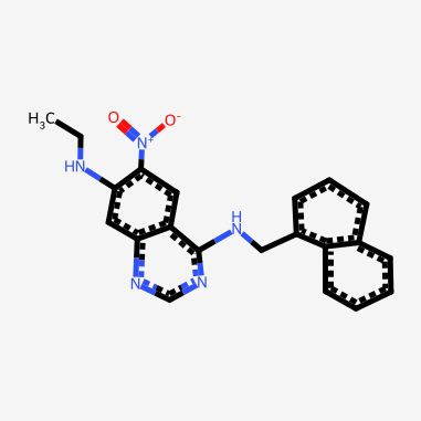 CCNc1cc2ncnc(NCc3cccc4ccccc34)c2cc1[N+](=O)[O-]